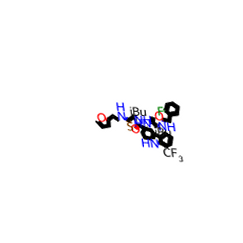 C=C(N[C@]1(C(=O)N[C@H](C(=S)NCCC2CC=CO2)C(C)CC)CCc2[nH]c3c(C(F)(F)F)cccc3c2C1)[C@@H](NC(=O)Cc1ccccc1F)C(C)CC